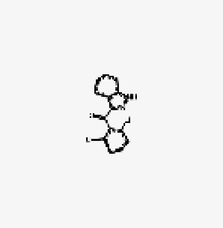 O=C(c1c(Cl)cccc1Cl)c1n[nH]c2ccccc12